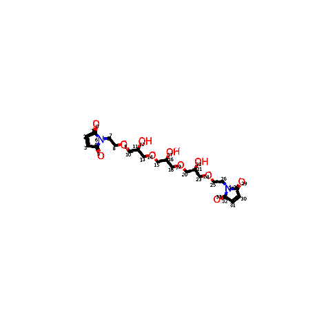 O=C1C=CC(=O)N1CCOCC(O)COCC(O)COCC(O)COCCN1C(=O)C=CC1=O